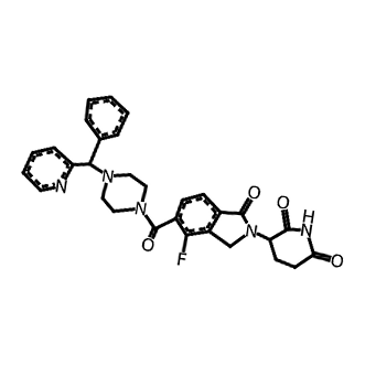 O=C1CCC(N2Cc3c(ccc(C(=O)N4CCN(C(c5ccccc5)c5ccccn5)CC4)c3F)C2=O)C(=O)N1